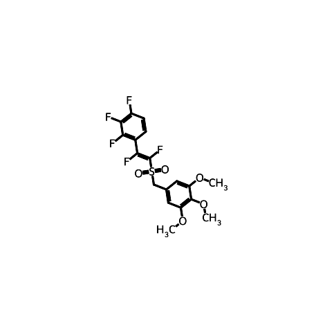 COc1cc(CS(=O)(=O)/C(F)=C(\F)c2ccc(F)c(F)c2F)cc(OC)c1OC